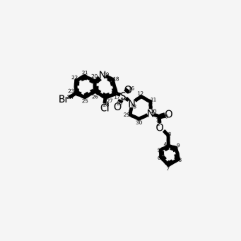 O=C(OCc1ccccc1)N1CCN(S(=O)(=O)c2cnc3ccc(Br)cc3c2Cl)CC1